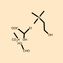 CC(=O)O.CCC(O)C(=O)[O-].C[N+](C)(C)CCO.O=CO